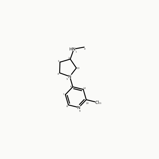 CNC1CCN(c2ccnc(Cl)c2)C1